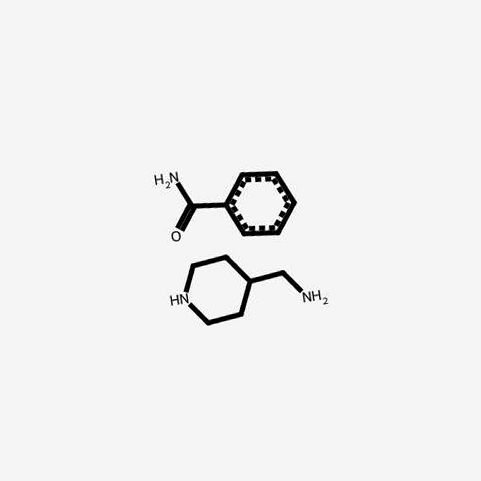 NC(=O)c1ccccc1.NCC1CCNCC1